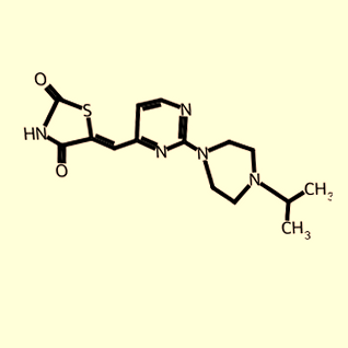 CC(C)N1CCN(c2nccc(/C=C3\SC(=O)NC3=O)n2)CC1